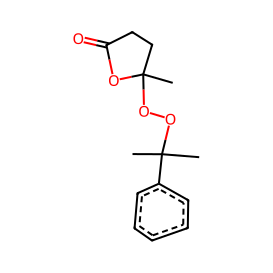 CC1(OOC(C)(C)c2ccccc2)CCC(=O)O1